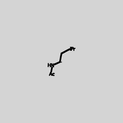 CC(=O)N[CH]CC(C)C